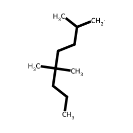 [CH2]C(C)CCC(C)(C)CCC